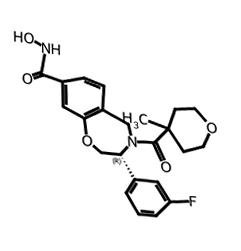 CC1(C(=O)N2Cc3ccc(C(=O)NO)cc3OC[C@H]2c2cccc(F)c2)CCOCC1